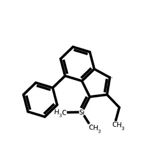 CCC1=[C]c2cccc(-c3ccccc3)c2C1=[Si](C)C